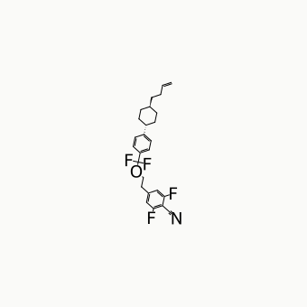 C=CCC[C@H]1CC[C@H](c2ccc(C(F)(F)OCCc3cc(F)c(C#N)c(F)c3)cc2)CC1